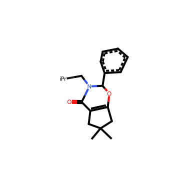 CC(C)CN1C(=O)C2=C(CC(C)(C)C2)OC1c1ccccc1